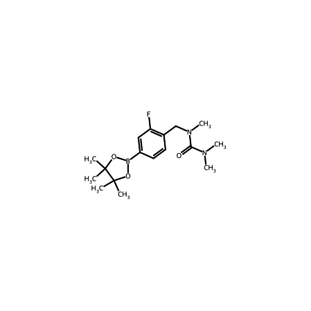 CN(C)C(=O)N(C)Cc1ccc(B2OC(C)(C)C(C)(C)O2)cc1F